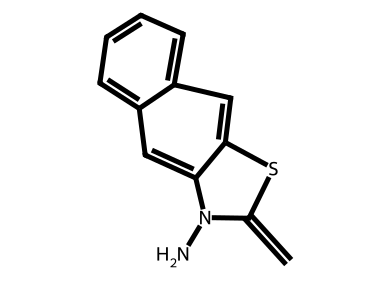 C=C1Sc2cc3ccccc3cc2N1N